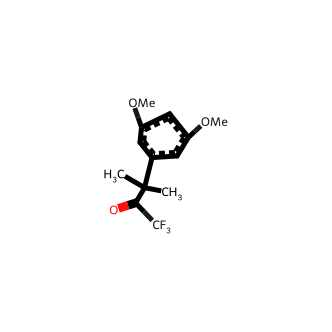 COc1cc(OC)cc(C(C)(C)C(=O)C(F)(F)F)c1